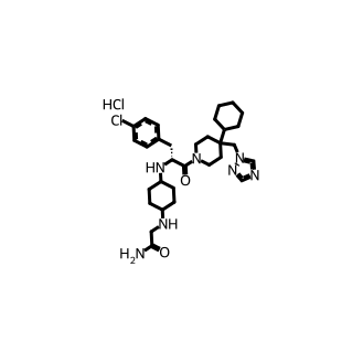 Cl.NC(=O)CNC1CCC(N[C@H](Cc2ccc(Cl)cc2)C(=O)N2CCC(Cn3cncn3)(C3CCCCC3)CC2)CC1